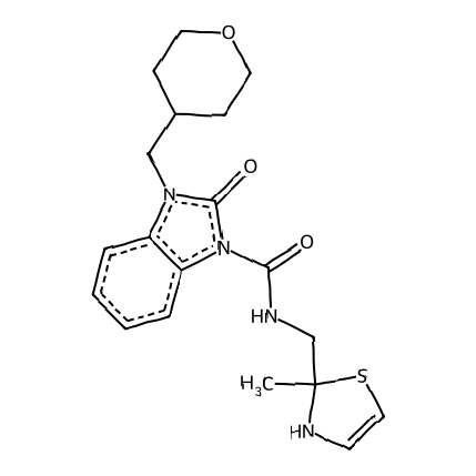 CC1(CNC(=O)n2c(=O)n(CC3CCOCC3)c3ccccc32)NC=CS1